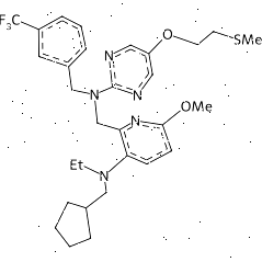 CCN(CC1CCCC1)c1ccc(OC)nc1CN(Cc1cccc(C(F)(F)F)c1)c1ncc(OCCSC)cn1